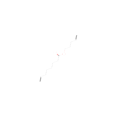 C=CCCCCCC(=O)OCCCC=C